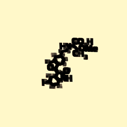 CO[C@H](C)[C@H](NCCc1ccc2c(c1)CO/C2=C1/C(=O)Nc2ccc(F)cc21)C(=O)O